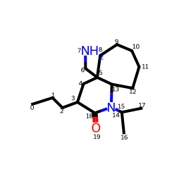 CCCC1CC2(CN)CCCCCC2N(C(C)C)C1=O